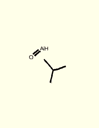 [CH2]C(C)C.[O]=[AlH]